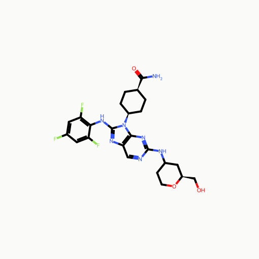 NC(=O)[C@H]1CC[C@@H](n2c(Nc3c(F)cc(F)cc3F)nc3cnc(NC4CCO[C@H](CO)C4)nc32)CC1